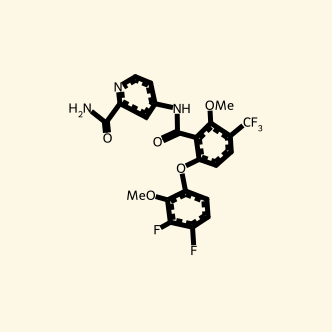 COc1c(Oc2ccc(C(F)(F)F)c(OC)c2C(=O)Nc2ccnc(C(N)=O)c2)ccc(F)c1F